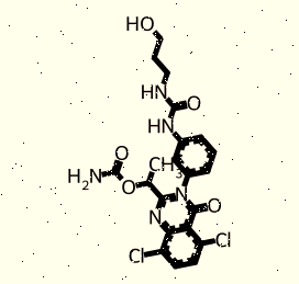 CC(OC(N)=O)c1nc2c(Cl)ccc(Cl)c2c(=O)n1-c1cccc(NC(=O)NCCCO)c1